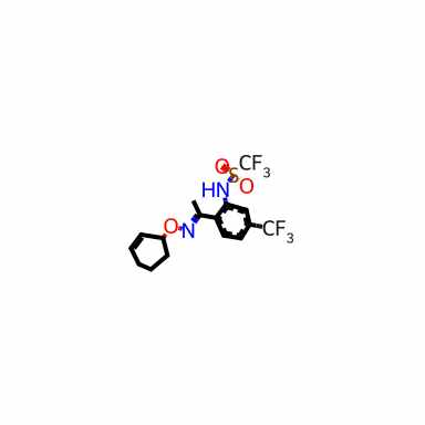 C/C(=N\OC1C=CCCC1)c1ccc(C(F)(F)F)cc1NS(=O)(=O)C(F)(F)F